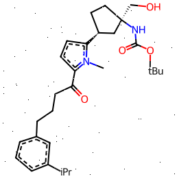 CC(C)c1cccc(CCCC(=O)c2ccc([C@H]3CC[C@@](CO)(NC(=O)OC(C)(C)C)C3)n2C)c1